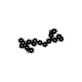 c1cc(-c2ccc(-c3cccc4c(-c5cccc(N(c6ccc7sc8ccccc8c7c6)c6cc7ccccc7c7ccccc67)c5)cccc34)cc2)cc(-c2ccc(N(c3cccc(-c4cccc5ccccc45)c3)c3ccc4oc5ccccc5c4c3)cc2)c1